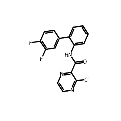 O=C(Nc1ccccc1-c1ccc(F)c(F)c1)c1nccnc1Cl